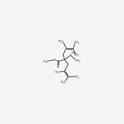 COC(=O)C(CC(C)=C(C)C)(CC(C)=C(C)C)N(C)C